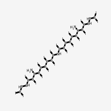 NB(B(I)B(I)BBB(I)I)B(I)B(I)B(I)B(I)B(I)B(I)NB(I)B(I)B(I)B(I)B(I)B(I)B(N)B(I)B(I)BBB(I)I